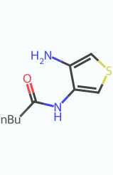 CCCCC(=O)Nc1cscc1N